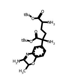 CC1Oc2ccc(C(N)(CCC(N)C(=O)OC(C)(C)C)C(=O)OC(C)(C)C)cc2N=C1N